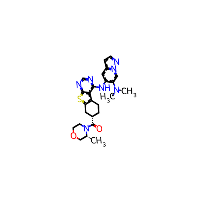 C[C@@H]1COCCN1C(=O)[C@H]1CCc2c(sc3ncnc(Nc4cc5ccnn5cc4N(C)C)c23)C1